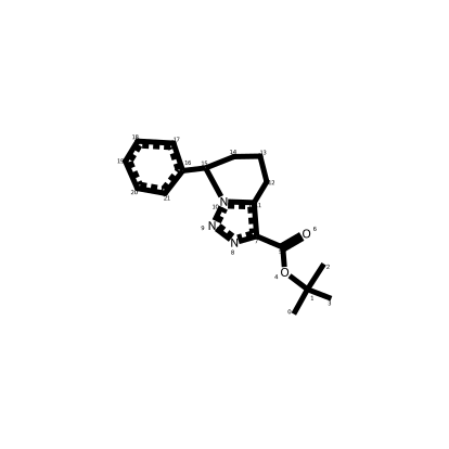 CC(C)(C)OC(=O)c1nnn2c1CCCC2c1ccccc1